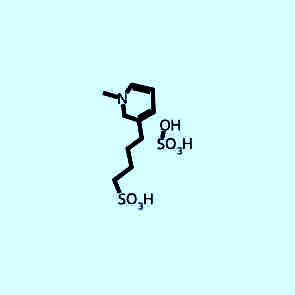 CN1C=CC=C(CCCCS(=O)(=O)O)C1.O=S(=O)(O)O